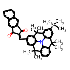 CC1(C)c2cccc3c2N2c4c1cc(C=C1C(=O)c5cc6ccccc6cc5C1=O)cc4C(C)(C)c1cc([Si](C)(C)C)cc(c12)C3(C)C